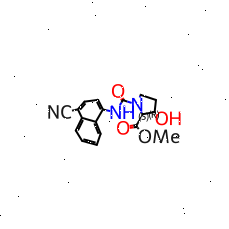 COC(=O)[C@@H]1[C@H](O)CCN1C(=O)Nc1ccc(C#N)c2ccccc12